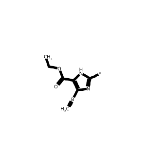 C=Bc1nc(F)[nH]c1C(=O)OCC